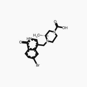 C[C@@H]1CN(C(=O)O)CCN1Cc1c[nH]c(=O)c2ccc(Br)cc12